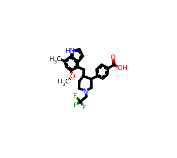 COc1cc(C)c2[nH]ccc2c1CC1CCN(CC(F)(F)F)CC1c1ccc(C(=O)O)cc1